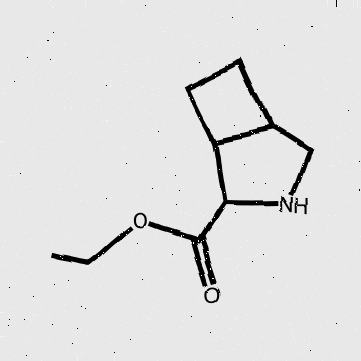 CCOC(=O)C1NCC2CCC21